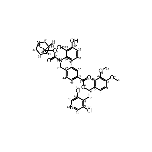 COc1ccc([C@H](Cc2c(Cl)cncc2Cl)OC(=O)c2ccc(CN(C(=O)O[C@H]3CN4CCC3CC4)c3cccc(O)c3Cl)cc2)cc1OC